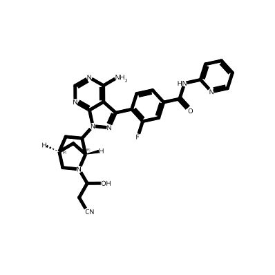 N#CCC(O)N1C[C@H]2CC(n3nc(-c4ccc(C(=O)Nc5ccccn5)cc4F)c4c(N)ncnc43)[C@H]1C2